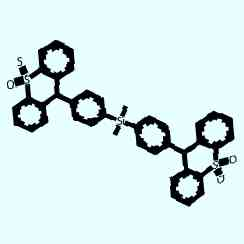 C[Si](C)(c1ccc(C2c3ccccc3S(=O)(=O)c3ccccc32)cc1)c1ccc(C2c3ccccc3S(=O)(=S)c3ccccc32)cc1